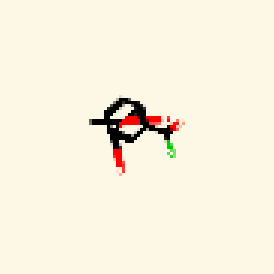 O=C(Cl)c1cc2ccc1c(=O)oc2=O